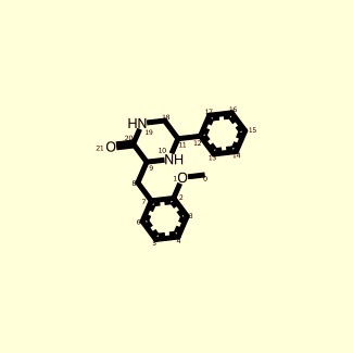 COc1ccccc1CC1NC(c2ccccc2)CNC1=O